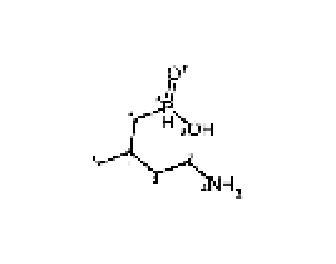 CC(CCN)C[PH](=O)O